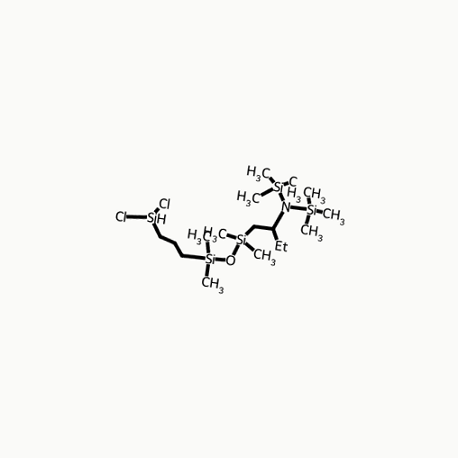 CCC(C[Si](C)(C)O[Si](C)(C)CCC[SiH](Cl)Cl)N([Si](C)(C)C)[Si](C)(C)C